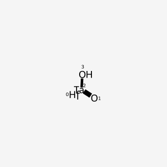 [Hf].[O]=[Ta][OH]